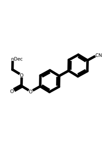 CCCCCCCCCCCOC(=O)Oc1ccc(-c2ccc(C#N)cc2)cc1